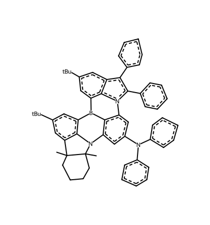 CC(C)(C)c1cc2c3c(c1)C1(C)CCCCC1(C)N3c1cc(N(c3ccccc3)c3ccccc3)cc3c1B2c1cc(C(C)(C)C)cc2c(-c4ccccc4)c(-c4ccccc4)n-3c12